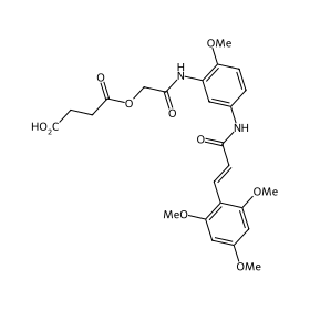 COc1cc(OC)c(/C=C/C(=O)Nc2ccc(OC)c(NC(=O)COC(=O)CCC(=O)O)c2)c(OC)c1